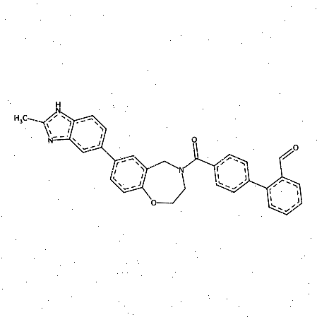 Cc1nc2cc(-c3ccc4c(c3)CN(C(=O)c3ccc(-c5ccccc5C=O)cc3)CCO4)ccc2[nH]1